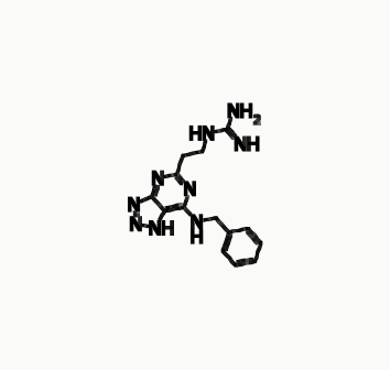 N=C(N)NCCc1nc(NCc2ccccc2)c2[nH]nnc2n1